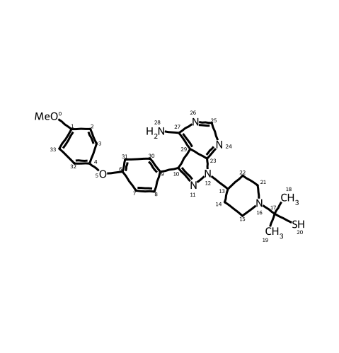 COc1ccc(Oc2ccc(-c3nn(C4CCN(C(C)(C)S)CC4)c4ncnc(N)c34)cc2)cc1